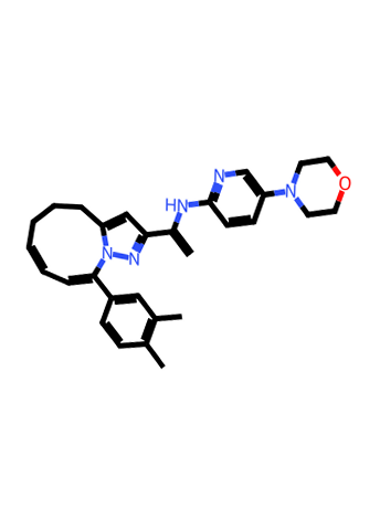 C=C(Nc1ccc(N2CCOCC2)cn1)c1cc2n(n1)/C(c1ccc(C)c(C)c1)=C\C=C/CCC2